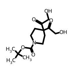 CC(C)(C)OC(=O)N1CCC(C(=O)CO)(C(=O)CO)CC1